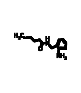 CCCCCC(=O)NCc1ccccc1N